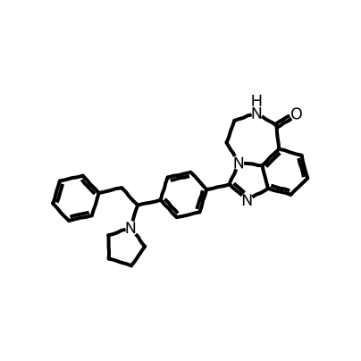 O=C1NCCn2c(-c3ccc(C(Cc4ccccc4)N4CCCC4)cc3)nc3cccc1c32